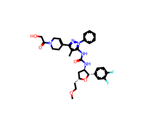 COCC[C@@H]1C[C@@H](NC(=O)Nc2c(C)c(C3=CCN(C(=O)CO)CC3)nn2-c2ccccc2)[C@H](c2ccc(F)c(F)c2)O1